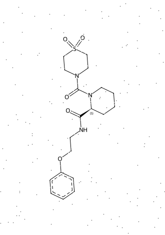 O=C(NCCOc1ccccc1)[C@@H]1CCCCN1C(=O)N1CCS(=O)(=O)CC1